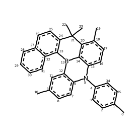 Cc1ccc(N2c3ccc(C)cc3B3c4c2ccc(C)c4C(C)(C)c2ccc4ccccc4c23)cc1